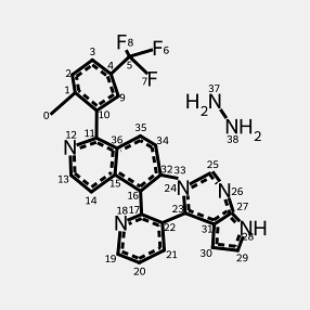 Cc1ccc(C(F)(F)F)cc1-c1nccc2c(-c3ncccc3-c3ncnc4[nH]ccc34)c(C)ccc12.NN